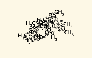 CCOP(=O)(OCC)C(C)CCCC(CCCCC1C(P(=O)(OCC)OCC)CCC(C(CC)P(=O)(OCC)OCC)P(=O)(OCC)O/C=C\OP1(=O)OCC)P(=O)(OCC)OCC